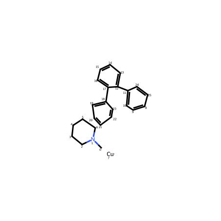 CN1CCCCC1.[Cu].c1ccc(-c2ccccc2-c2ccccc2)cc1